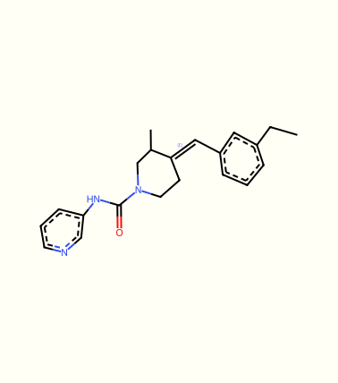 CCc1cccc(/C=C2\CCN(C(=O)Nc3cccnc3)CC2C)c1